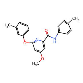 COc1cc(Oc2cccc(C)c2)nc(C(=O)Nc2ccc(C)cc2)c1